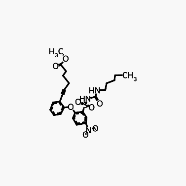 CCCCCNC(=O)NS(=O)(=O)c1cc([N+](=O)[O-])ccc1Oc1ccccc1C#CCCCC(=O)OC